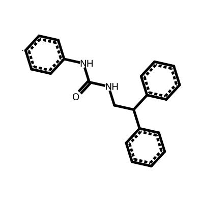 O=C(NCC(c1ccccc1)c1ccccc1)Nc1cc[c]cc1